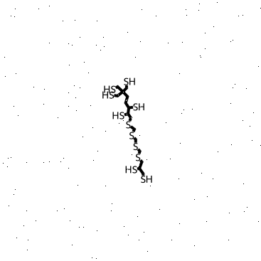 SCC(S)CSCSCSCSCC(S)C(S)CCC(CS)(CS)CS